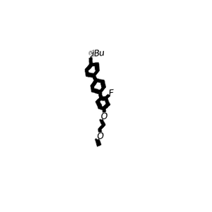 C=COCCCOc1ccc(-c2ccc(-c3ccc(C[C@@H](C)CC)cc3)cc2)c(F)c1